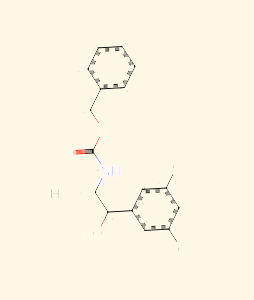 Cc1cc(C(O)[C@H](C)NC(=O)OCc2ccccc2)cc(C(F)(F)F)c1